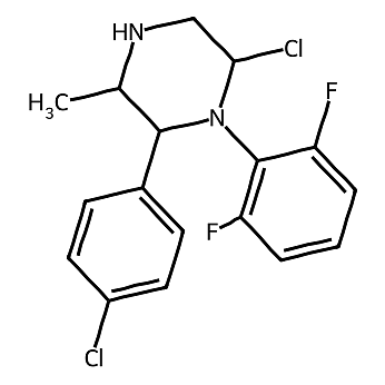 CC1NCC(Cl)N(c2c(F)cccc2F)C1c1ccc(Cl)cc1